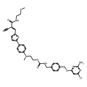 COCCNC(=O)/C(C#N)=C/c1ccc(-c2ccc(N(C)CCOC(=O)NCc3ccc(COc4cc(Cl)nc(N)n4)cc3)cc2)s1